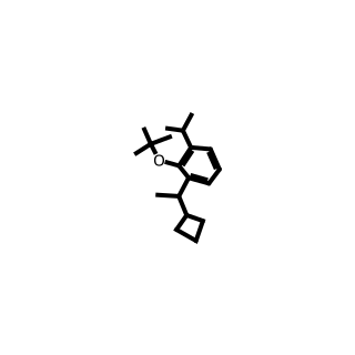 CC(C)c1cccc(C(C)C2CCC2)c1OC(C)(C)C